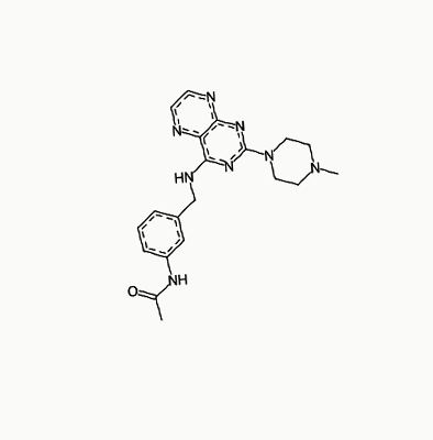 CC(=O)Nc1cccc(CNc2nc(N3CCN(C)CC3)nc3nccnc23)c1